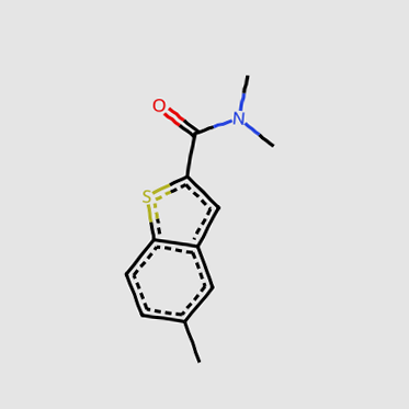 Cc1ccc2sc(C(=O)N(C)C)cc2c1